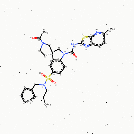 COCCN(Cc1ccccc1)S(=O)(=O)c1ccc2c(c1)[C@]1(CCN(C(=O)OC)C1)CN2C(=O)Nc1nc2ccc(OC)nc2s1